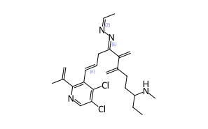 C=C(CCC(CC)NC)C(=C)/C(C/C=C/c1c(C(=C)C)ncc(Cl)c1Cl)=N/N=C\C